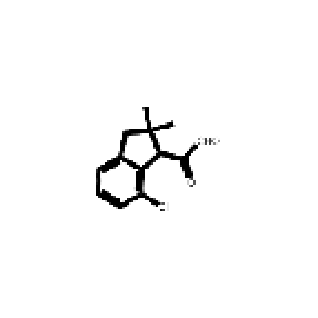 CC1(C)Cc2cccc(Cl)c2C1C(=O)C=O